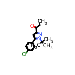 CCC(=O)c1cc(-c2ccc(Cl)cc2)n(C(C)(C)C)n1